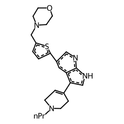 CCCN1CC=C(c2c[nH]c3ncc(-c4ccc(CN5CCOCC5)s4)cc23)CC1